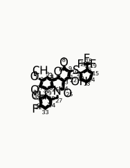 COc1cc2c3oc(=O)c(Sc4ccccc4C(F)(F)F)c(O)c3c(=O)n(Cc3ccc(F)cc3)c2cc1OC